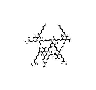 CCCCCCNC(=O)C(C(C)C)N(CCCC)C(=O)CCCC(=O)N(CCCCCC(=O)N(CCCC(=O)OC)C(C(=O)NCCCCCC)C(C)C)C(CCCC(=O)N(CCCC)C(C(=O)NCCCCCC(=O)OC)C(C)C)C(=O)NCCC(=O)N(CCCC(=O)OC)C(C(=O)NCCCCCC(=O)OC)C(C)C